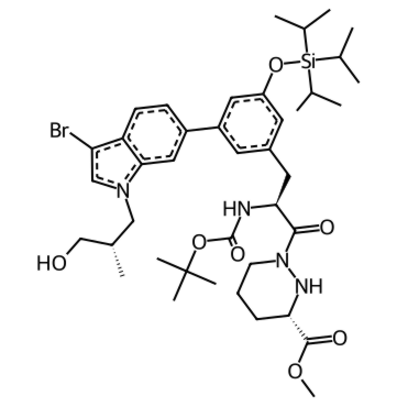 COC(=O)[C@@H]1CCCN(C(=O)[C@H](Cc2cc(O[Si](C(C)C)(C(C)C)C(C)C)cc(-c3ccc4c(Br)cn(C[C@H](C)CO)c4c3)c2)NC(=O)OC(C)(C)C)N1